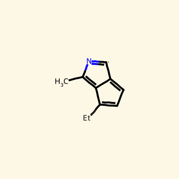 CCC1=CC=C2[C]=NC(C)=C21